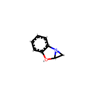 c1ccc2c(c1)OC1CN21